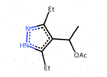 CCc1n[nH]c(CC)c1C(C)OC(C)=O